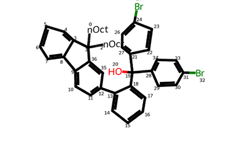 CCCCCCCCC1(CCCCCCCC)c2ccccc2-c2ccc(-c3ccccc3C(O)(c3ccc(Br)cc3)c3ccc(Br)cc3)cc21